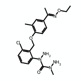 CCO/N=C(\C)c1ccc(OCc2c(Cl)cccc2N(N)C(=O)N(C)N)c(C)c1